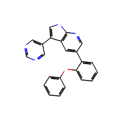 c1ccc(Oc2ccccc2-c2cnc3[nH]cc(-c4cncnc4)c3c2)cc1